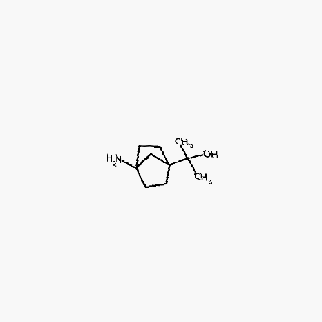 CC(C)(O)C12CCC(N)(CC1)C2